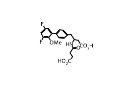 COc1c(F)cc(F)cc1-c1ccc(CC(CC(=O)O)NC(=O)CCC(=O)O)cc1